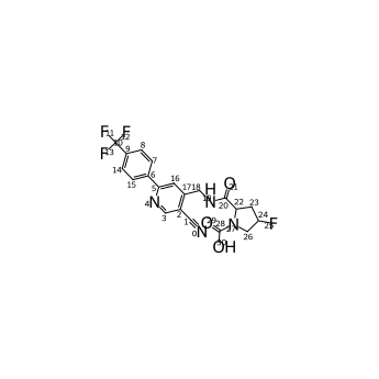 N#Cc1cnc(-c2ccc(C(F)(F)F)cc2)cc1CNC(=O)C1CC(F)CN1C(=O)O